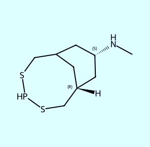 CN[C@H]1CC2CSPSC[C@H](C2)C1